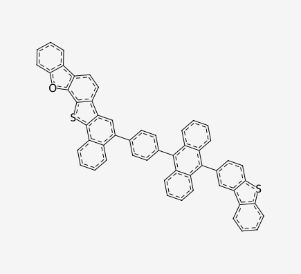 c1ccc2c(c1)oc1c2ccc2c3cc(-c4ccc(-c5c6ccccc6c(-c6ccc7sc8ccccc8c7c6)c6ccccc56)cc4)c4ccccc4c3sc21